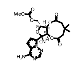 COC(=O)OC[C@H]1O[C@@](C#N)(c2ccc3c(N)ncnn23)[C@@H]2OC(=O)CC(C)(C)CC(=O)O[C@@H]21